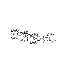 CCCc1cc(OC)c2c(c1)C(C)C(c1cc(OC)c(OC(CC)c3cc(OC)c(OC(CC)c4cc(OC)c(O)c(OC)c4)c(OC)c3)c(OC)c1)O2